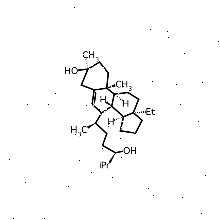 CC[C@]12CCC[C@H]1[C@@H]1C([C@H](C)CC[C@@H](O)C(C)C)C=C3C[C@@](C)(O)CC[C@]3(C)[C@H]1CC2